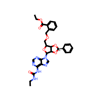 CCNC(=O)Nc1ncnc2c1ncn2C1OC(COCc2ccccc2C(=O)OCC)C2O[C@@H](c3ccccc3)OC21